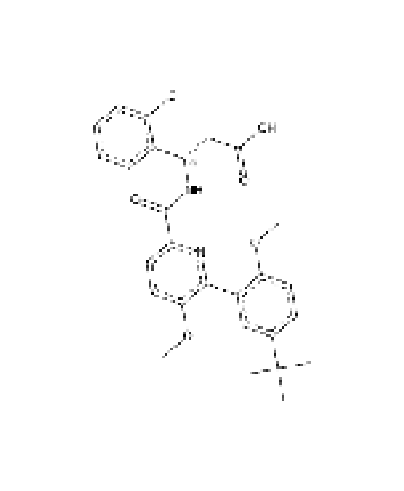 COc1ccc(C(C)(C)C)cc1-c1nc(C(=O)N[C@@H](CC(=O)O)c2ccccc2Cl)ccc1OC